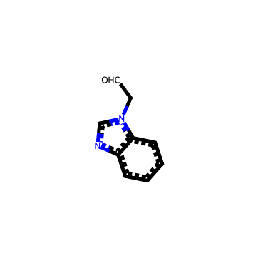 O=CCn1cnc2ccccc21